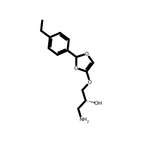 CCc1ccc(C2OC=C(OC[C@H](O)CN)O2)cc1